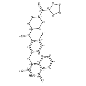 O=C(c1cc(Cn2c(=O)[nH]c(=O)c3ccccc32)ncc1I)N1CCN(C(=O)C2CCCC2)CC1